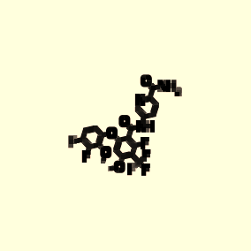 COc1cc(Oc2ccc(F)c(F)c2OC)c(C(=O)Nc2ccc(C(N)=O)nc2)c(F)c1C(F)(F)F